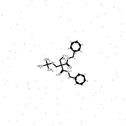 CCC(CSC(C)(C)C)(C(=O)OCc1ccccc1)C(=O)OCc1ccccc1